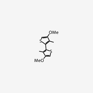 COc1csc(-c2scc(OC)c2C)c1C